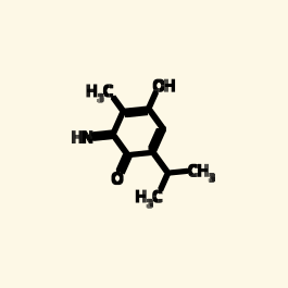 CC1=C(O)C=C(C(C)C)C(=O)C1=N